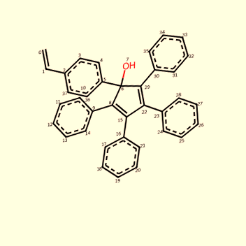 C=Cc1ccc(C2(O)C(c3ccccc3)=C(c3ccccc3)C(c3ccccc3)=C2c2ccccc2)cc1